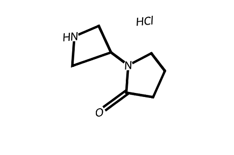 Cl.O=C1CCCN1C1CNC1